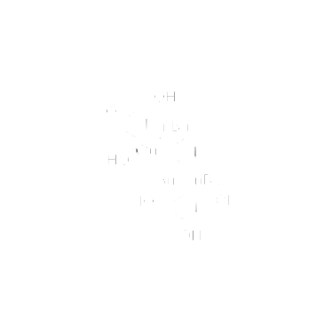 CCCCC(CCCC)(c1cccc(C(CCCC)(CCCC)c2c(CO)cc(O)cc2CO)c1)c1c(CO)cc(O)cc1CO